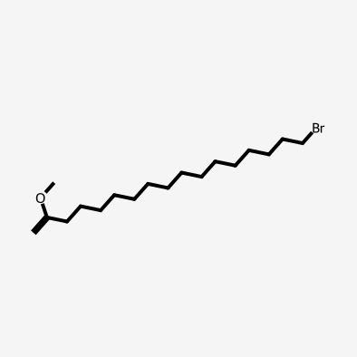 C=C(CCCCCCCCCCCCCCCBr)OC